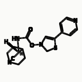 O=C(N[C@H]1CN2CCC1CC2)ON1C=C(c2ccncc2)SC1